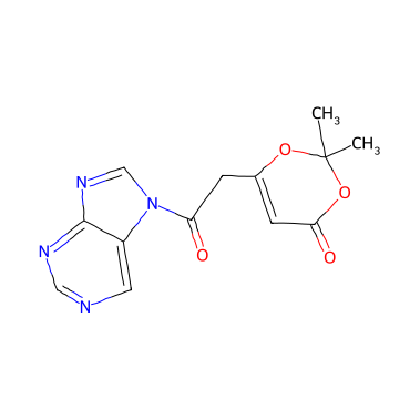 CC1(C)OC(=O)C=C(CC(=O)n2cnc3ncncc32)O1